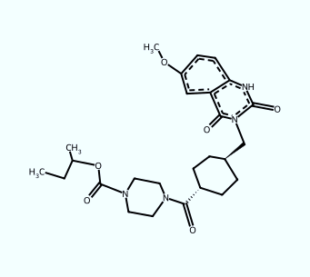 CCC(C)OC(=O)N1CCN(C(=O)[C@H]2CC[C@H](Cn3c(=O)[nH]c4ccc(OC)cc4c3=O)CC2)CC1